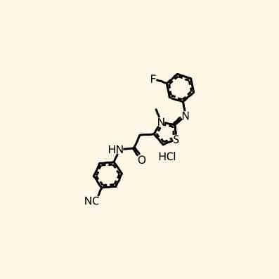 Cl.Cn1c(CC(=O)Nc2ccc(C#N)cc2)cs/c1=N/c1cccc(F)c1